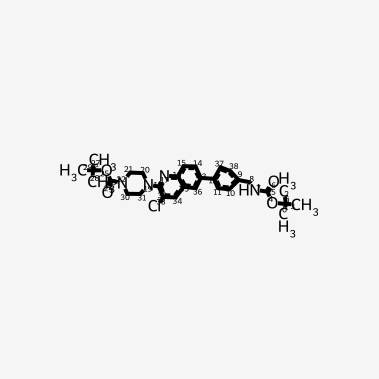 CC(C)(C)OC(=O)NCc1ccc(-c2ccc3nc(N4CCN(C(=O)OC(C)(C)C)CC4)c(Cl)cc3c2)cc1